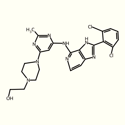 Cc1nc(Nc2nccc3nc(-c4c(Cl)cccc4Cl)[nH]c23)cc(N2CCN(CCO)CC2)n1